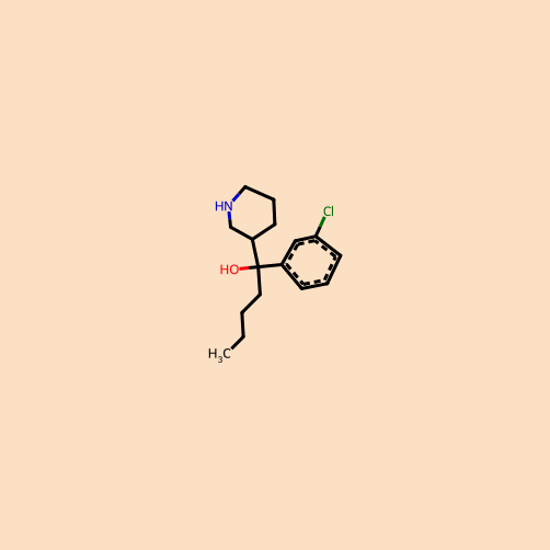 CCCCC(O)(c1cccc(Cl)c1)C1CCCNC1